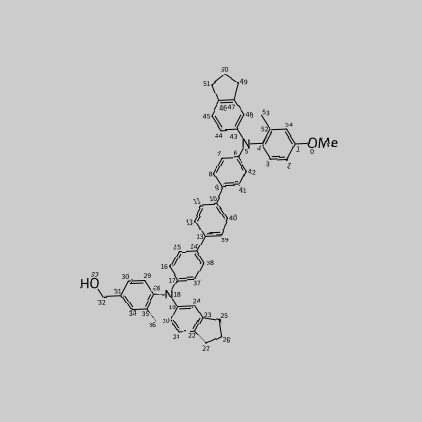 COc1ccc(N(c2ccc(-c3ccc(-c4ccc(N(c5ccc6c(c5)CCC6)c5ccc(CO)cc5C)cc4)cc3)cc2)c2ccc3c(c2)CCC3)c(C)c1